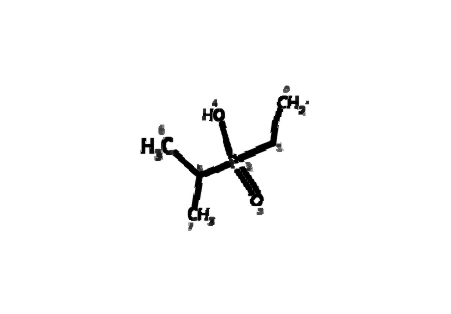 [CH2]CP(=O)(O)C(C)C